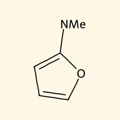 CNc1ccco1